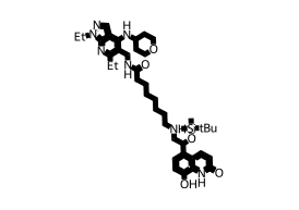 CCc1nc2c(cnn2CC)c(NC2CCOCC2)c1CNC(=O)CCCCCCCNCC(O[Si](C)(C)C(C)(C)C)c1ccc(O)c2[nH]c(=O)ccc12